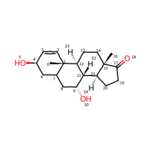 C[C@]12C=C[C@H](O)CC1C[C@@H](O)[C@@H]1[C@@H]2CC[C@]2(C)C(=O)CC[C@@H]12